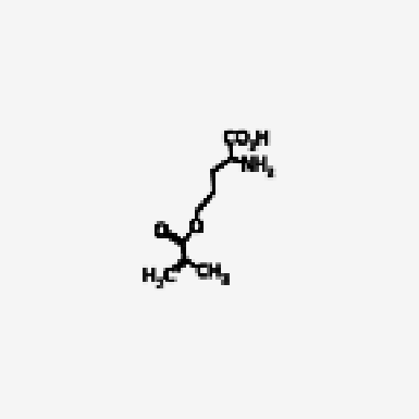 C=C(C)C(=O)OCCCC(N)C(=O)O